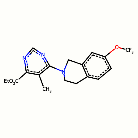 CCOC(=O)c1ncnc(N2CCc3ccc(OC(F)(F)F)cc3C2)c1C